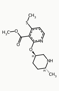 COC(=O)c1c(SC)ccnc1O[C@@H]1CC[C@@H](C)NC1